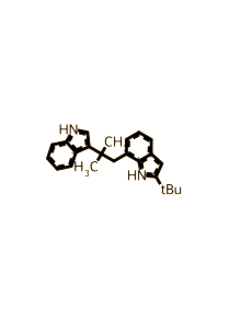 CC(C)(C)c1cc2cccc(CC(C)(C)c3c[nH]c4ccccc34)c2[nH]1